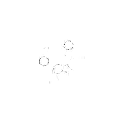 CC(C)Cc1nc(-c2ccccc2)cn2c(C(Cc3cccnc3)C(=O)O)nnc12.[NaH]